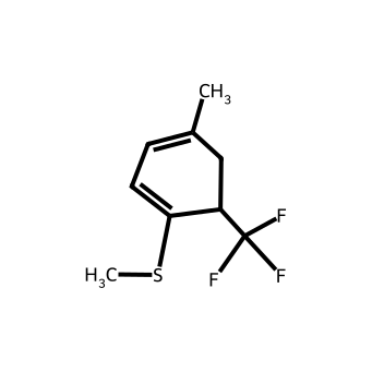 CSC1=CC=C(C)CC1C(F)(F)F